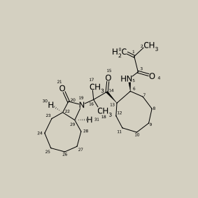 C=C(C)C(=O)N[C@H]1CCCCCC[C@H]1C(=O)C(C)(C)N1C(=O)[C@@H]2CCCCCC[C@@H]21